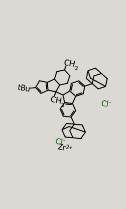 CC1CCC2C(C1)C1=C(C=C(C(C)(C)C)C1)C2(C)C1c2ccc(C34CC5CC(CC(C5)C3)C4)cc2-c2cc(C34CC5CC(CC(C5)C3)C4)ccc21.[Cl-].[Cl-].[Zr+2]